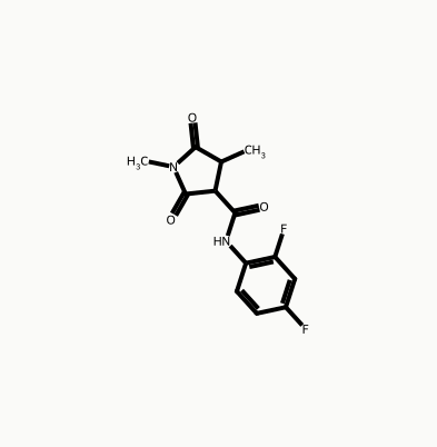 CC1C(=O)N(C)C(=O)C1C(=O)Nc1ccc(F)cc1F